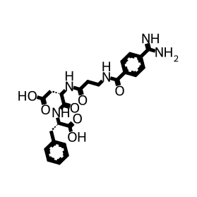 N=C(N)c1ccc(C(=O)NCCC(=O)N[C@@H](CC(=O)O)C(=O)N[C@@H](Cc2ccccc2)C(=O)O)cc1